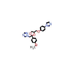 COc1ccc(C2(Cn3cncn3)OCC(COc3ccc(-n4ccnc4)cc3)O2)cc1